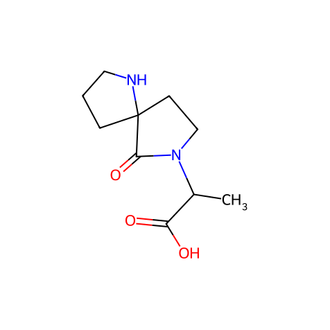 CC(C(=O)O)N1CCC2(CCCN2)C1=O